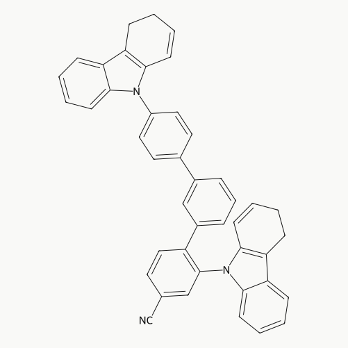 N#Cc1ccc(-c2cccc(-c3ccc(-n4c5c(c6ccccc64)CCC=C5)cc3)c2)c(-n2c3c(c4ccccc42)CCC=C3)c1